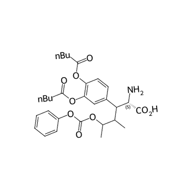 CCCCC(=O)Oc1ccc(C(C(C)C(C)OC(=O)Oc2ccccc2)[C@H](N)C(=O)O)cc1OC(=O)CCCC